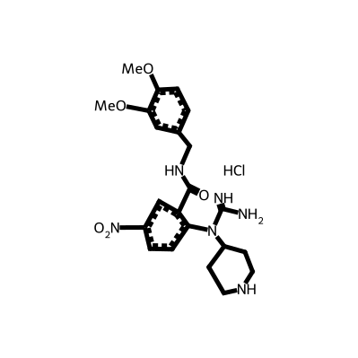 COc1ccc(CNC(=O)c2cc([N+](=O)[O-])ccc2N(C(=N)N)C2CCNCC2)cc1OC.Cl